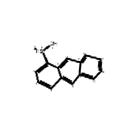 C[SiH](O)c1cccc2cc3ccccc3cc12